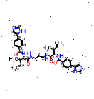 CCC(C)[C@H](NC(=O)c1ccc(-c2cnc[nH]2)cc1)C(=O)NCCCNC(=O)[C@@H](NC(=O)c1ccc(-c2cnc[nH]2)cc1)C(C)CC